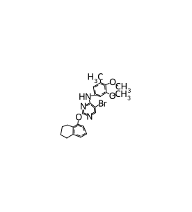 COc1cc(Nc2nc(Oc3cccc4c3CCCC4)ncc2Br)cc(C)c1OC